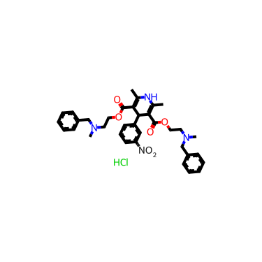 CC1=C(C(=O)OCCN(C)Cc2ccccc2)C(c2cccc([N+](=O)[O-])c2)C(C(=O)OCCN(C)Cc2ccccc2)=C(C)N1.Cl